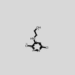 OCCNc1cc(Cl)nnc1Cl